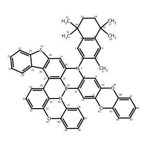 Cc1cc2c(cc1N1c3cc4c(cc3B3c5c1cc1sc6ccccc6c1c5-c1cccc5c1N3c1ccccc1O5)Oc1ccccc1O4)C(C)(C)CCC2(C)C